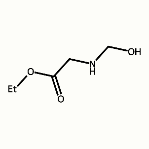 CCOC(=O)CNCO